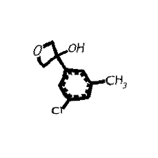 Cc1cc(Cl)cc(C2(O)COC2)c1